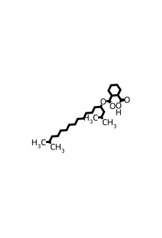 CC(C)CCCCCCCCCCCC(CC(C)C)OC(=O)C1CCCCC1C(=O)O